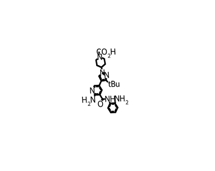 CC(C)(C)c1nn(C2CCN(C(=O)O)CC2)cc1-c1cnc(N)c(C(=O)Nc2ccccc2N)c1